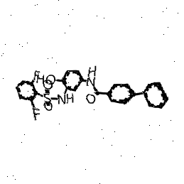 O=C(Nc1ccc(O)c(NS(=O)(=O)c2c(F)cccc2F)c1)c1ccc(-c2ccccc2)cc1